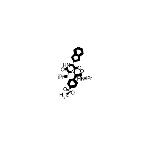 CC(C)C[C@@H]1C(=O)N[C@H](C2Cc3ccccc3C2)C(=O)N1[C@@H](C(=O)NC(C)C)c1ccc(S(C)(=O)=O)cc1